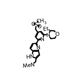 CC[C@H]1COCCN1c1cc(CS(C)(=O)=O)cc(-c2ccc3[nH]c(CNC)cc3n2)n1